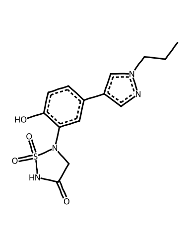 CCCn1cc(-c2ccc(O)c(N3CC(=O)NS3(=O)=O)c2)cn1